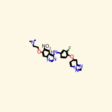 CN(C)CCOc1cc2ncnc(Nc3ccc(Oc4ccn5ncnc5c4)c(F)c3)c2cc1[N+](=O)[O-]